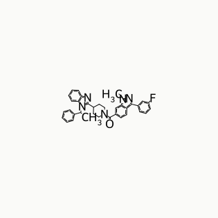 CC(c1ccccc1)n1c(C2CCN(C(=O)c3ccc4c(-c5cccc(F)c5)nn(C)c4c3)CC2)nc2ccccc21